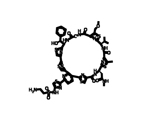 CNC(=O)C[C@@H]1NC(=O)c2csc(n2)-c2ccc(-c3nc(NS(=O)(=O)CCN)cs3)nc2-c2csc(n2)-c2csc(n2)[C@H]([C@@H](O)c2ccccc2)NC(=O)CNC(=O)c2nc(sc2COC)[C@@H](C(C)C)NC(=O)c2nc1sc2C